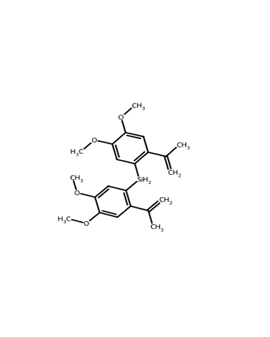 C=C(C)c1cc(OC)c(OC)cc1[SiH2]c1cc(OC)c(OC)cc1C(=C)C